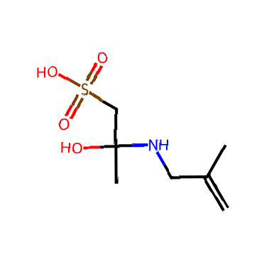 C=C(C)CNC(C)(O)CS(=O)(=O)O